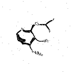 CNc1ccnc(OC(F)F)c1C(C)C